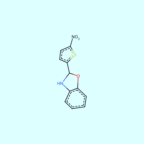 O=[N+]([O-])c1ccc(C2Nc3ccccc3O2)s1